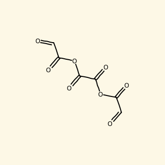 O=CC(=O)OC(=O)C(=O)OC(=O)C=O